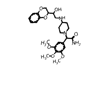 COc1cc(C(C(N)=O)N2CCC(NCC(O)C3COc4ccccc4O3)CC2)cc(OC)c1OC